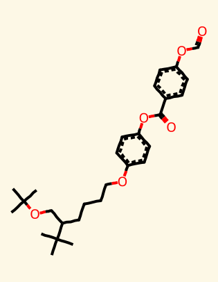 CC(C)(C)OCC(CCCCOc1ccc(OC(=O)c2ccc(OC=O)cc2)cc1)C(C)(C)C